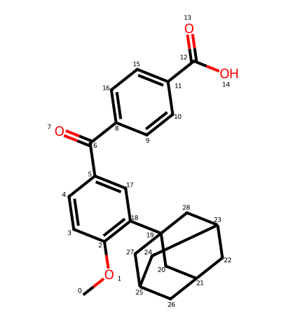 COc1ccc(C(=O)c2ccc(C(=O)O)cc2)cc1C12CC3CC(CC(C3)C1)C2